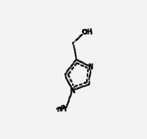 CC[CH]n1cnc(CO)c1